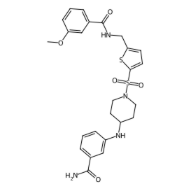 COc1cccc(C(=O)NCc2ccc(S(=O)(=O)N3CCC(Nc4cccc(C(N)=O)c4)CC3)s2)c1